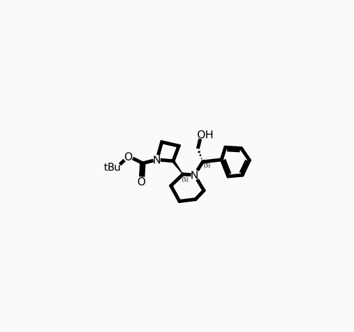 CC(C)(C)OC(=O)N1CCC1[C@@H]1CCCCN1[C@H](CO)c1ccccc1